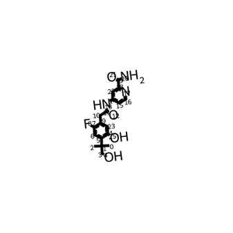 CC(C)(CO)c1cc(F)c(CC(=O)Nc2ccnc(C(N)=O)c2)cc1O